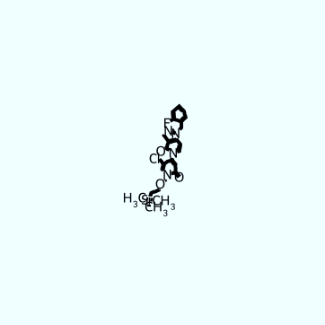 C[Si](C)(C)CCOCn1cc(Cl)c(-n2ccc3c(cnn3Cc3ccccc3F)c2=O)cc1=O